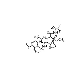 CCS(=O)(=O)C(C(=O)NC1(C(F)F)CC1)c1nc(C)nc(N[C@H](C)c2cccc(C(F)F)c2F)c1C1OCCO1